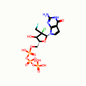 Nc1nc2c(ccn2[C@@H]2O[C@H](COP(=O)(O)OP(=O)(O)OP(=O)(O)O)C(O)[C@]2(Cl)CF)c(=O)[nH]1